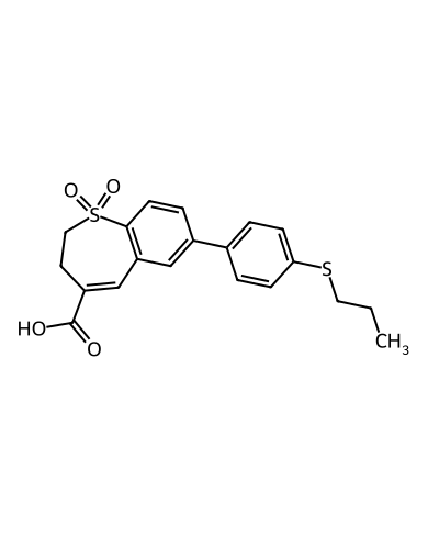 CCCSc1ccc(-c2ccc3c(c2)C=C(C(=O)O)CCS3(=O)=O)cc1